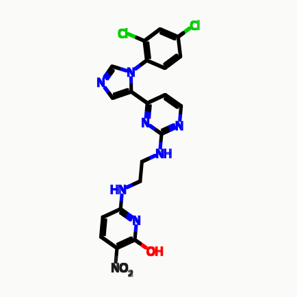 O=[N+]([O-])c1ccc(NCCNc2nccc(-c3cncn3-c3ccc(Cl)cc3Cl)n2)nc1O